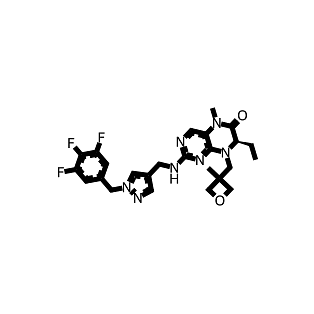 CC[C@@H]1C(=O)N(C)c2cnc(NCc3cnn(Cc4cc(F)c(F)c(F)c4)c3)nc2N1CC1(C)COC1